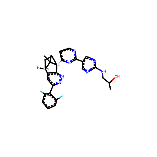 CC(O)CNc1ncc(-c2nccc([C@]34CC[C@@H](c5cc(-c6c(F)cccc6F)nnc53)C4(C)C)n2)cn1